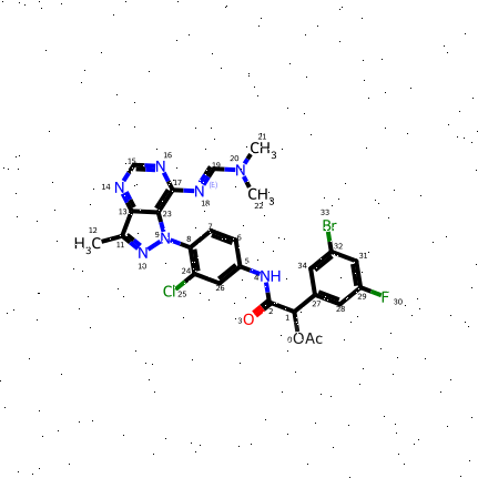 CC(=O)OC(C(=O)Nc1ccc(-n2nc(C)c3ncnc(/N=C/N(C)C)c32)c(Cl)c1)c1cc(F)cc(Br)c1